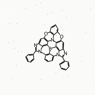 c1ccc(-c2nc3cc4c5c6c3n2-c2cccc3c2B6c2c6c(cc7nc(-c8ccccc8)n-3c27)Oc2cccc(c2N56)O4)cc1